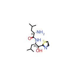 CC(C)C[C@H](N)C(=O)N[C@H](CC(C)C)[C@H](O)c1nccs1